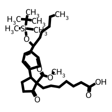 CCCCCC(O[Si](C)(C)C(C)(C)C)c1ccc(C2CCC(=O)C2(CCCCCCC(=O)O)C(=O)OC)cc1